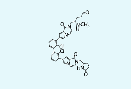 CNC(CCC=O)Cn1ccn2cc(-c3cccc(-c4cccc(-c5cc6c(=O)n(CC7CCC(=O)N7)ccn6c5)c4Cl)c3Cl)cc2c1=O